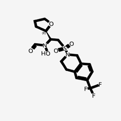 O=CN(O)C(CS(=O)(=O)N1CCc2cc(C(F)(F)F)ccc2C1)[C@H]1CCCO1